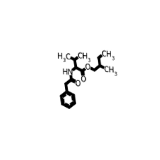 CCC(C)COC(=O)C(NC(=O)Cc1ccccc1)C(C)C